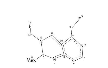 CSC1N=c2ccnc(CF)c2=CN1CF